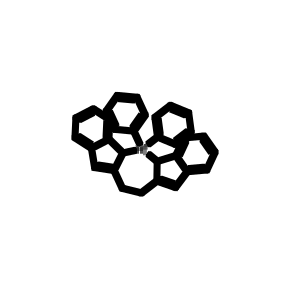 C1=C2CCC3=Cc4ccccc4[CH]3[Hf]([c]3ccccc3)([c]3ccccc3)[CH]2c2ccccc21